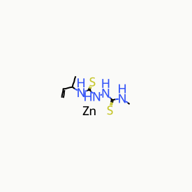 C=CC(C)NC(=S)NNC(=S)NC.[Zn]